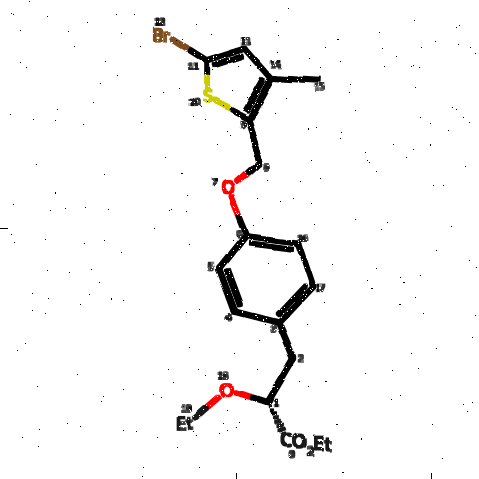 CCOC(=O)[C@@H](Cc1ccc(OCc2sc(Br)cc2C)cc1)OCC